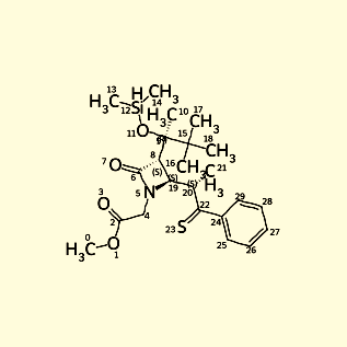 COC(=O)CN1C(=O)[C@H]([C@@](C)(O[SiH](C)C)C(C)(C)C)[C@H]1[C@H](C)C(=S)c1ccccc1